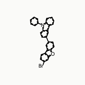 Brc1ccc2c(c1)oc1ccc(-c3ccc4c(c3)c3ccccc3n4-c3ccccc3)cc12